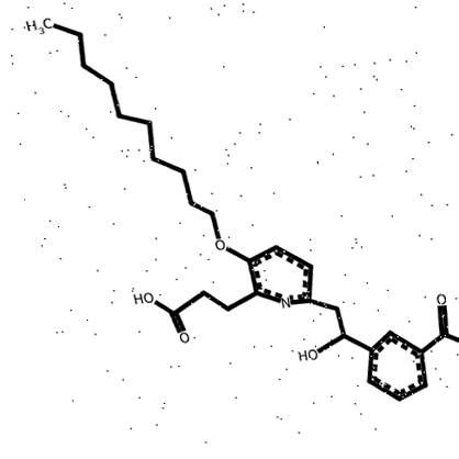 CCCCCCCCCCOc1ccc(CC(O)c2cccc(C(=O)O)c2)nc1CCC(=O)O